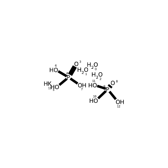 O.O.O.O=P(O)(O)O.O=P(O)(O)O.[KH]